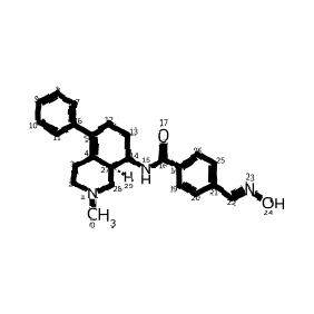 CN1CCC2=C(c3ccccc3)CCC(NC(=O)c3ccc(/C=N/O)cc3)[C@H]2C1